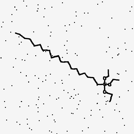 CCCCCCCCCCCCCCCCCCC[Si](OCC)(OCC)OCC